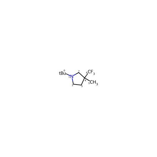 CC(C)(C)N1CCC(C)(C(F)(F)F)C1